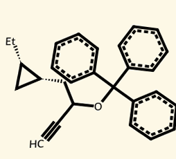 C#CC(C[C@@H]1C[C@@H]1CC)OC(c1ccccc1)(c1ccccc1)c1ccccc1